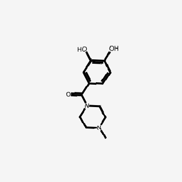 CN1CCN(C(=O)c2ccc(O)c(O)c2)CC1